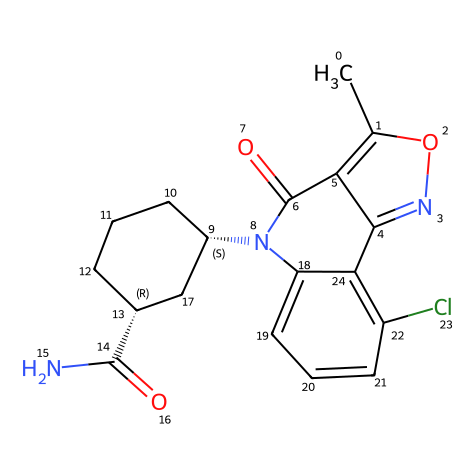 Cc1onc2c1c(=O)n([C@H]1CCC[C@@H](C(N)=O)C1)c1cccc(Cl)c21